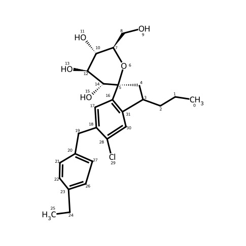 CCCC1C[C@]2(O[C@H](CO)[C@@H](O)[C@H](O)[C@H]2O)c2cc(Cc3ccc(CC)cc3)c(Cl)cc21